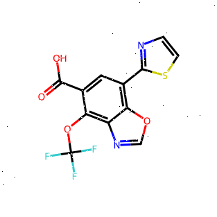 O=C(O)c1cc(-c2nccs2)c2ocnc2c1OC(F)(F)F